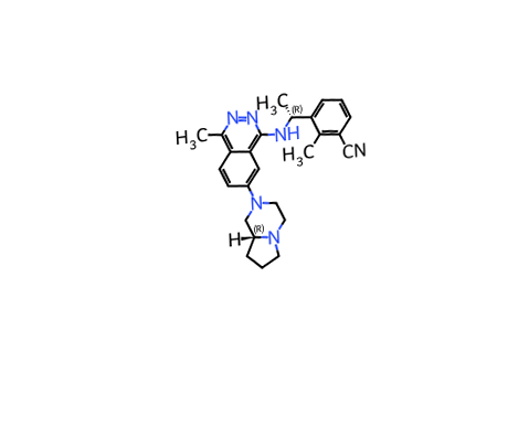 Cc1c(C#N)cccc1[C@@H](C)Nc1nnc(C)c2ccc(N3CCN4CCC[C@@H]4C3)cc12